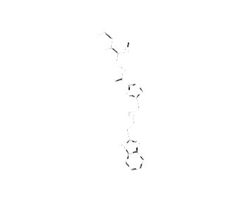 C=N/C(CNC(=O)c1nc(CNCCc2nc3ccccc3[nH]2)cs1)=C(F)\C=C/C